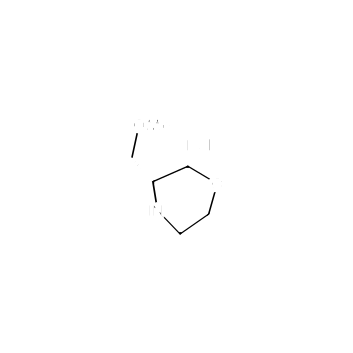 COC[C@@H]1COCCN1.Cl